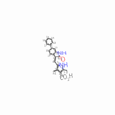 Cc1[nH]c(C=C2C(=O)Nc3cc(-c4ccccc4)ccc32)c(C)c1C(=O)O